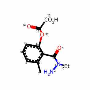 CCN(N)C(=O)c1c(C)cccc1OC(=O)C(=O)O